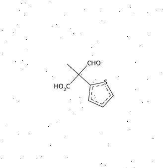 CC([C]=O)(C(=O)O)c1cccs1